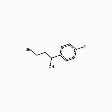 CC(C)(C)CCC(O)c1ccc(Cl)cc1